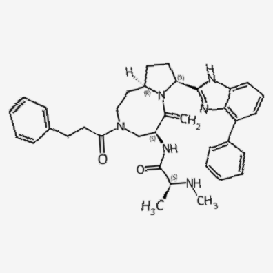 C=C1[C@@H](NC(=O)[C@H](C)NC)CN(C(=O)CCc2ccccc2)CC[C@H]2CC[C@@H](c3nc4c(-c5ccccc5)cccc4[nH]3)N12